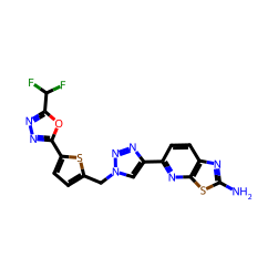 Nc1nc2ccc(-c3cn(Cc4ccc(-c5nnc(C(F)F)o5)s4)nn3)nc2s1